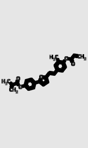 C=CC(=O)Oc1ccc(/C=C/c2ccc(-c3ccc(OC(=O)C(=C)C)cc3)o2)cc1C